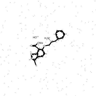 COC(=O)c1c(OC[C@H](N)Cc2ccccc2)ccc2c(C)noc12.Cl